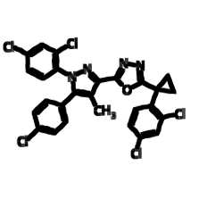 Cc1c(-c2nnc(C3(c4ccc(Cl)cc4Cl)CC3)o2)nn(-c2ccc(Cl)cc2Cl)c1-c1ccc(Cl)cc1